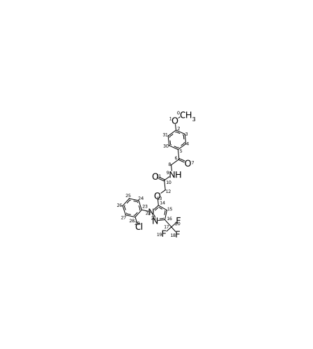 COc1ccc(C(=O)CNC(=O)COc2cc(C(F)(F)F)nn2-c2ccccc2Cl)cc1